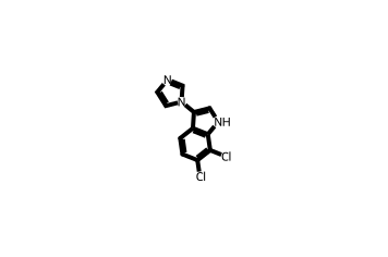 Clc1ccc2c(-n3ccnc3)c[nH]c2c1Cl